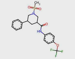 CS(=O)(=O)N1CC(C(=O)Nc2ccc(OC(F)(F)F)cc2)CC(c2ccccc2)C1